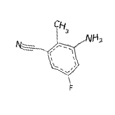 Cc1c(N)cc(F)cc1C#N